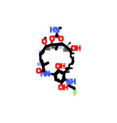 CNC(=O)O[C@H]1/C(C)=C/[C@H](C)[C@@H](O)CCCCc2c(O)c(cc(O)c2NCCF)NC(=O)/C(C)=C/C=C\[C@@H]1OC